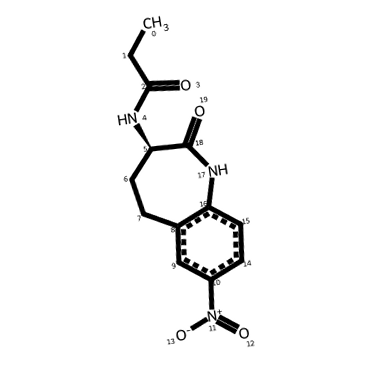 CCC(=O)N[C@@H]1CCc2cc([N+](=O)[O-])ccc2NC1=O